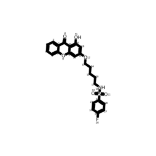 O=c1c2ccccc2oc2cc(OCCCCCNS(=O)(=O)c3ccc(F)cc3)cc(O)c12